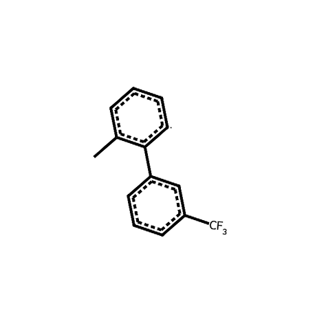 Cc1ccc[c]c1-c1cccc(C(F)(F)F)c1